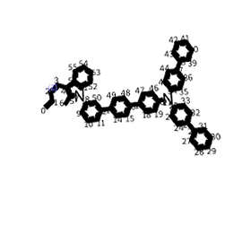 C=C/C=C\c1c(C)n(-c2cccc(-c3ccc(-c4ccc(N(c5ccc(-c6ccccc6)cc5)c5ccc(-c6ccccc6)cc5)cc4)cc3)c2)c2ccccc12